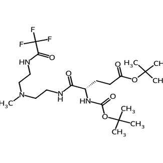 CN(CCNC(=O)[C@H](CCC(=O)OC(C)(C)C)NC(=O)OC(C)(C)C)CCNC(=O)C(F)(F)F